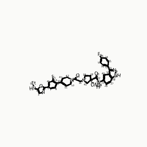 CCNc1cnc(-c2ccc(C3=CCN(C(=O)CN4CC[C@@](OC)(C(=O)Nc5ccc6[nH]nc(-c7ccc(F)cc7)c6c5)C4)CC3)c(F)c2)o1